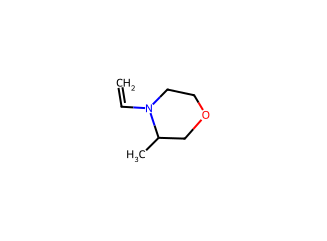 C=CN1CCOCC1C